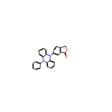 O=C1OCc2ccc(N3c4ccccc4N(c4ccccc4)c4ccccc43)cc21